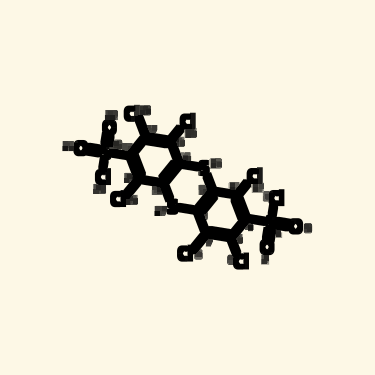 O=S(=O)(Cl)c1c(Cl)c(Cl)c2c(c1Cl)Sc1c(Cl)c(Cl)c(S(=O)(=O)Cl)c(Cl)c1S2